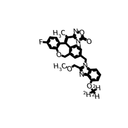 [2H]C([2H])([2H])Oc1cccc2c1nc(COC)n2Cc1ccc2c(c1)COc1cc(F)ccc1/C2=C(\C)c1noc(=O)[nH]1